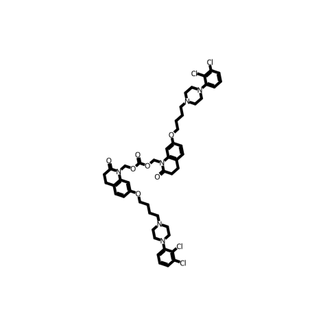 O=C(OCN1C(=O)CCc2ccc(OCCCCN3CCN(c4cccc(Cl)c4Cl)CC3)cc21)OCN1C(=O)CCc2ccc(OCCCCN3CCN(c4cccc(Cl)c4Cl)CC3)cc21